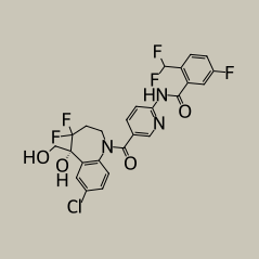 O=C(Nc1ccc(C(=O)N2CCC(F)(F)[C@](O)(CO)c3cc(Cl)ccc32)cn1)c1cc(F)ccc1C(F)F